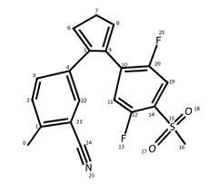 Cc1ccc(C2=CCC=C2c2cc(F)c(S(C)(=O)=O)cc2F)cc1C#N